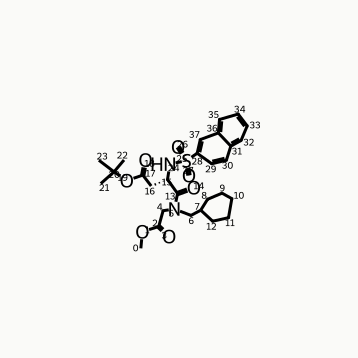 COC(=O)CN(CC1CCCCC1)C(=O)[C@H](CC(=O)OC(C)(C)C)NS(=O)(=O)c1ccc2ccccc2c1